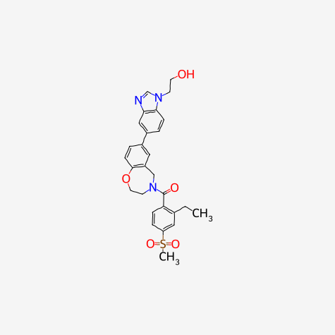 CCc1cc(S(C)(=O)=O)ccc1C(=O)N1CCOc2ccc(-c3ccc4c(c3)ncn4CCO)cc2C1